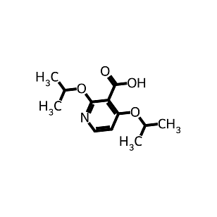 CC(C)Oc1ccnc(OC(C)C)c1C(=O)O